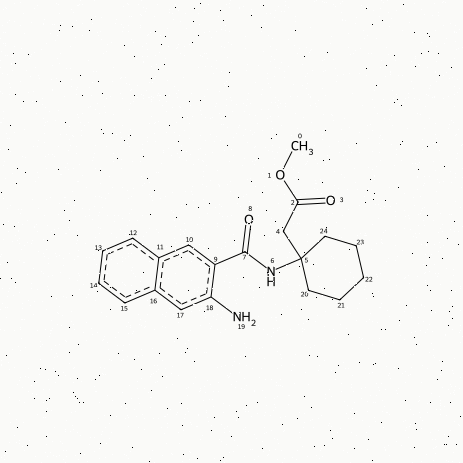 COC(=O)CC1(NC(=O)c2cc3ccccc3cc2N)CCCCC1